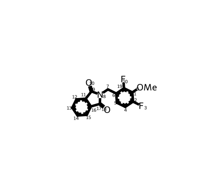 COc1c(F)ccc(CN2C(=O)c3ccccc3C2=O)c1F